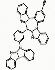 N#Cc1ccc2c(c1)n1c3ccccc3nc1n(-c1cccc(-n3c4ccccc4n4c5ccccc5nc34)c1)c1nc3ccccc3n21